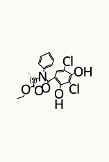 CCOC(=O)[C@H](C)N(C(=O)c1cc(Cl)c(O)c(Cl)c1O)c1ccccc1